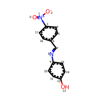 O=[N+]([O-])c1ccc(C=Nc2ccc(O)cc2)cc1